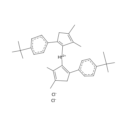 CC1=C(C)[C]([Hf+2][C]2=C(c3ccc(C(C)(C)C)cc3)CC(C)=C2C)=C(c2ccc(C(C)(C)C)cc2)C1.[Cl-].[Cl-]